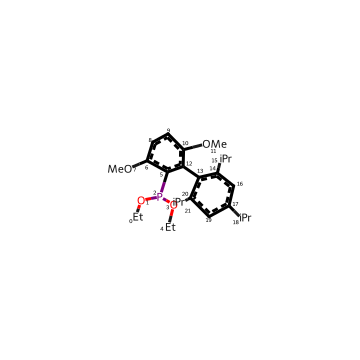 CCOP(OCC)c1c(OC)ccc(OC)c1-c1c(C(C)C)cc(C(C)C)cc1C(C)C